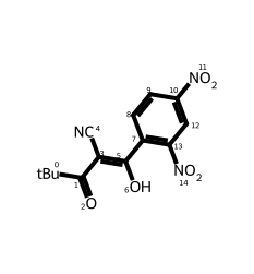 CC(C)(C)C(=O)/C(C#N)=C(\O)c1ccc([N+](=O)[O-])cc1[N+](=O)[O-]